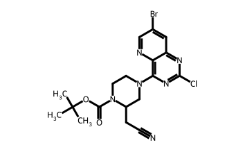 CC(C)(C)OC(=O)N1CCN(c2nc(Cl)nc3cc(Br)cnc23)CC1CC#N